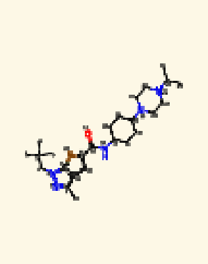 Cc1nn(CC(C)(C)C)c2sc(C(=O)NC3CCC(N4CCN(C(C)C)CC4)CC3)cc12